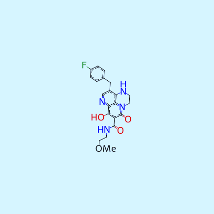 COCCNC(=O)c1c(O)c2ncc(Cc3ccc(F)cc3)c3c2n(c1=O)CCN3